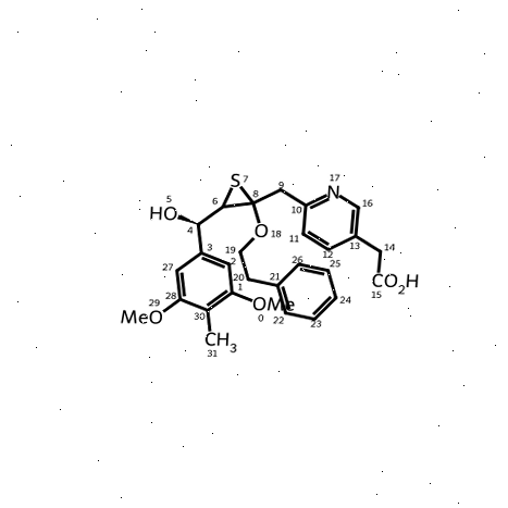 COc1cc([C@@H](O)C2SC2(Cc2ccc(CC(=O)O)cn2)OCCc2ccccc2)cc(OC)c1C